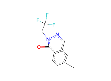 Cc1ccc2c(=O)n(CC(F)(F)F)ncc2c1